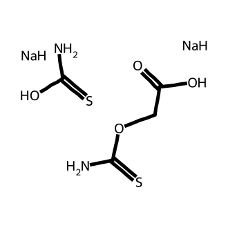 NC(=S)OCC(=O)O.NC(O)=S.[NaH].[NaH]